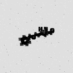 N[C@H](C=O)CCCCOCc1ccccc1